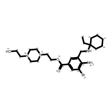 CCC1(NCc2cc(C(=O)OCCN3CCN(CCO)CC3)cc(Br)c2N)CCCCC1